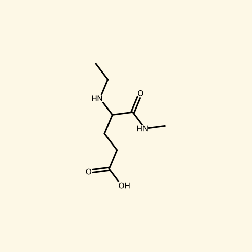 CCNC(CCC(=O)O)C(=O)NC